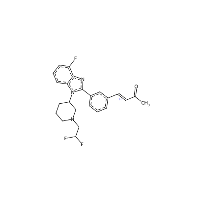 CC(=O)/C=C/c1cccc(-c2nc3c(F)cccc3n2C2CCCN(CC(F)F)C2)c1